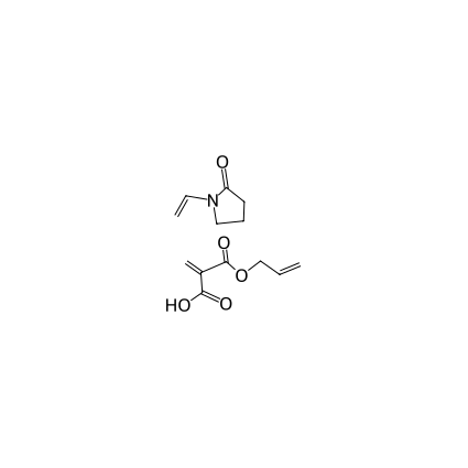 C=CCOC(=O)C(=C)C(=O)O.C=CN1CCCC1=O